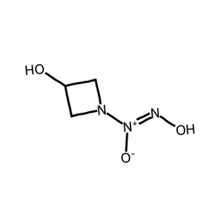 [O-]/[N+](=N\O)N1CC(O)C1